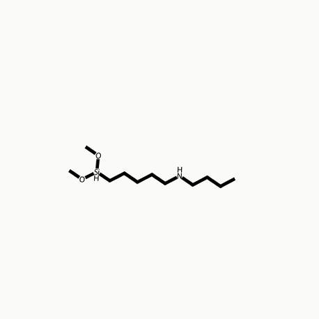 CCCCNCCCCC[SiH](OC)OC